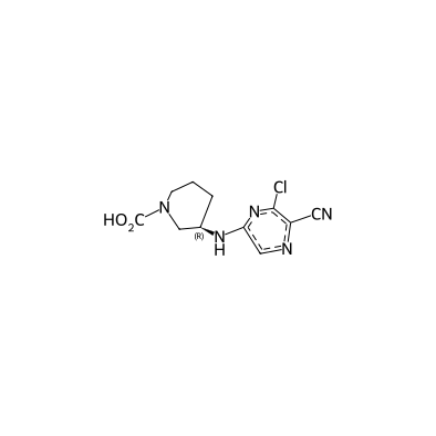 N#Cc1ncc(N[C@@H]2CCCN(C(=O)O)C2)nc1Cl